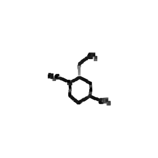 CC[C@@H]1CC(C)CCN1C